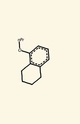 [CH2]CCOc1cccc2c1CCCC2